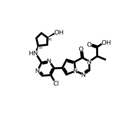 CC(C(=O)O)n1cnn2cc(-c3nc(N[C@H]4CC[C@@H](O)C4)ncc3Cl)cc2c1=O